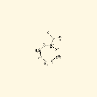 CCN(CC)[SiH]1O[SiH2]O[SiH2]O[SiH2]O1